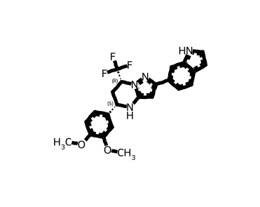 COc1ccc([C@@H]2C[C@H](C(F)(F)F)n3nc(-c4ccc5cc[nH]c5c4)cc3N2)cc1OC